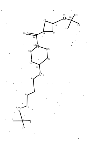 CC(C)(C)OCCCCOC1CCN(C(=O)C2CC(OC(C)(C)C)C2)CC1